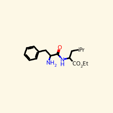 CCOC(=O)C(CC(C)C)NC(=O)C(N)Cc1ccccc1